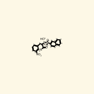 Cl.NC(=O)C(Cc1cccc([N+](=O)[O-])c1)NS(=O)(=O)c1ccc2ccccc2c1